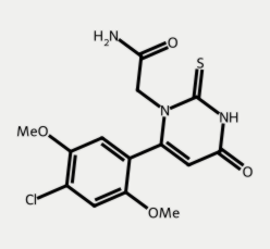 COc1cc(-c2cc(=O)[nH]c(=S)n2CC(N)=O)c(OC)cc1Cl